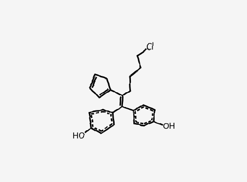 Oc1ccc(C(=C(CCCCCl)C2=CC=CC2)c2ccc(O)cc2)cc1